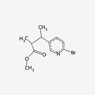 COC(=O)C(C)C(C)c1ccc(Br)nc1